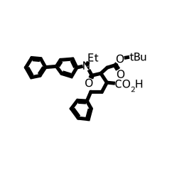 CCN(C(=O)C(CC(=O)OC(C)(C)C)C(CCc1ccccc1)C(=O)O)c1ccc(-c2ccccc2)cc1